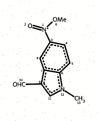 CO[N+](=O)c1ccc2c(c1)c(C=O)cn2C